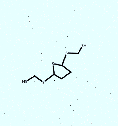 SCSC1CCC(SCS)S1